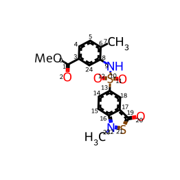 COC(=O)c1ccc(C)c(NS(=O)(=O)c2ccc3c(c2)c(=O)sn3C)c1